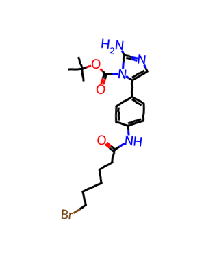 CC(C)(C)OC(=O)n1c(-c2ccc(NC(=O)CCCCCBr)cc2)cnc1N